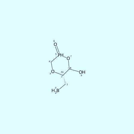 BC[C@@H]1OC[PH](=O)OC1O